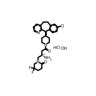 Cl.Cl.N[C@@H](CC(=O)N1CCC(=C2c3ccc(Cl)cc3CCc3cccnc32)CC1)CN1CC(F)(F)CCC1=O